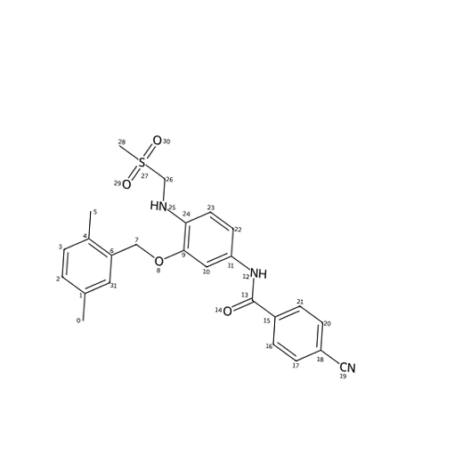 Cc1ccc(C)c(COc2cc(NC(=O)c3ccc(C#N)cc3)ccc2NCS(C)(=O)=O)c1